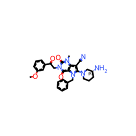 COc1cccc(C(=O)Cn2c(=O)c3c(c(C#N)c(N4CCC[C@@H](N)C4)n3Cc3ccccc3)n(C)c2=O)c1